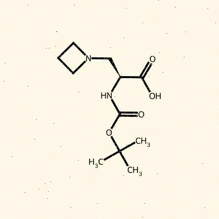 CC(C)(C)OC(=O)N[C@@H](CN1CCC1)C(=O)O